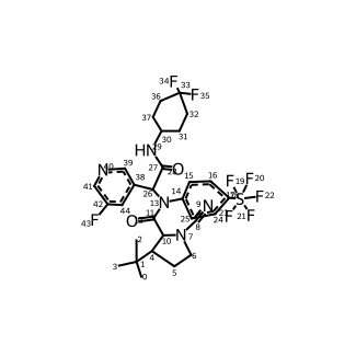 CC(C)(C)C1CCN(C#N)C1C(=O)N(c1ccc(S(F)(F)(F)(F)F)cc1)C(C(=O)NC1CCC(F)(F)CC1)c1cncc(F)c1